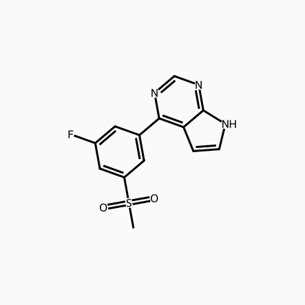 CS(=O)(=O)c1cc(F)cc(-c2ncnc3[nH]ccc23)c1